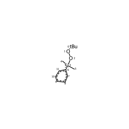 CC(C)(C)OO[Si](C)(C)c1ccccc1